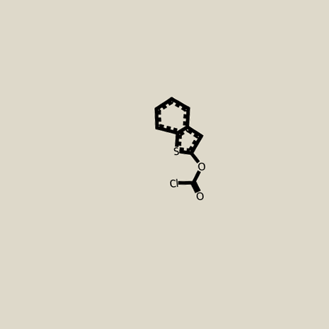 O=C(Cl)Oc1cc2ccccc2s1